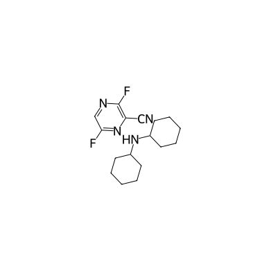 C1CCC(NC2CCCCC2)CC1.N#Cc1nc(F)cnc1F